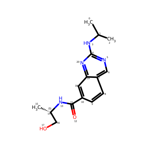 CC(C)Nc1ncc2ccc(C(=O)N[C@@H](C)CO)cc2n1